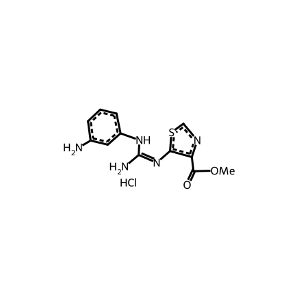 COC(=O)c1ncsc1/N=C(/N)Nc1cccc(N)c1.Cl